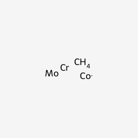 C.[Co].[Cr].[Mo]